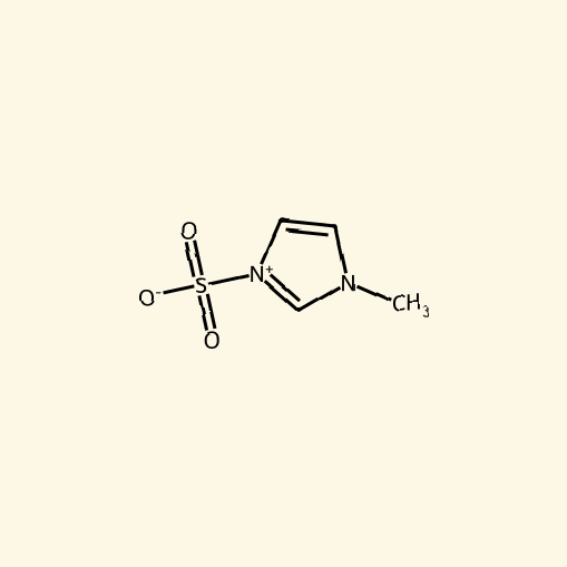 Cn1cc[n+](S(=O)(=O)[O-])c1